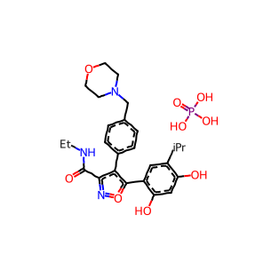 CCNC(=O)c1noc(-c2cc(C(C)C)c(O)cc2O)c1-c1ccc(CN2CCOCC2)cc1.O=P(O)(O)O